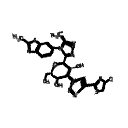 Cc1nc2ccc(-n3c(C)nnc3[C@@H]3O[C@H](CO)[C@H](O)[C@H](n4cc(-c5nc(Cl)cs5)nn4)[C@H]3O)cc2s1